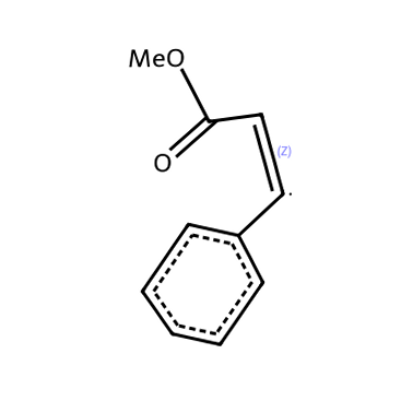 COC(=O)/C=[C]\c1ccccc1